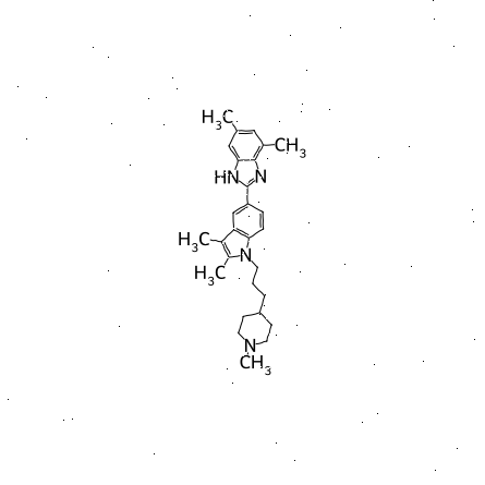 Cc1cc(C)c2nc(-c3ccc4c(c3)c(C)c(C)n4CCCC3CCN(C)CC3)[nH]c2c1